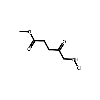 COC(=O)CCC(=O)CNCl